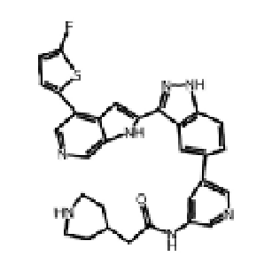 O=C(CC1CCNCC1)Nc1cncc(-c2ccc3[nH]nc(-c4cc5c(-c6ccc(F)s6)cncc5[nH]4)c3c2)c1